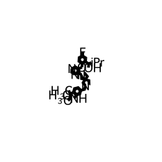 CC(C)C(O)c1cc(F)ccc1Oc1cncnc1N1CCC2(CCN(Cc3ccc4c(c3)NC(=O)C4(C)C)C2)C1